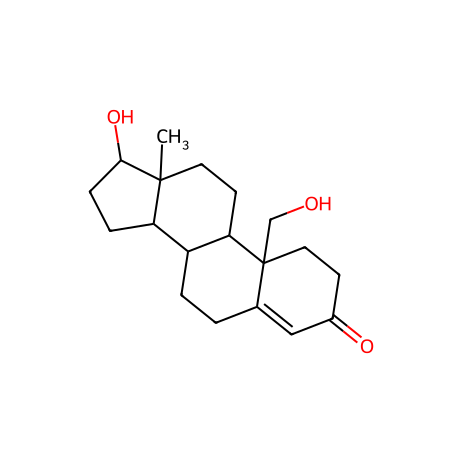 CC12CCC3C(CCC4=CC(=O)CCC43CO)C1CCC2O